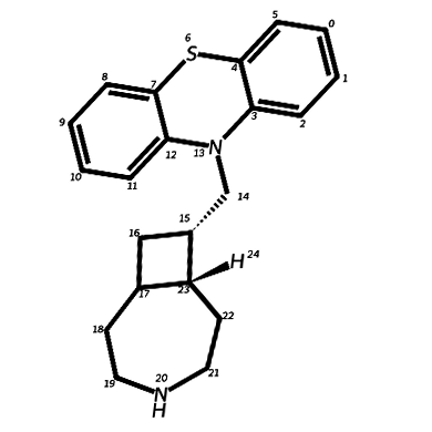 c1ccc2c(c1)Sc1ccccc1N2C[C@H]1CC2CCNCC[C@H]21